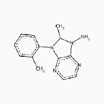 Cc1ccccc1N1c2nccnc2N(N)C1C